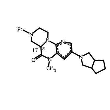 CC(C)N1CCN2c3ncc(N4CC5CCCC5C4)cc3N(C)C(=O)[C@H]2C1